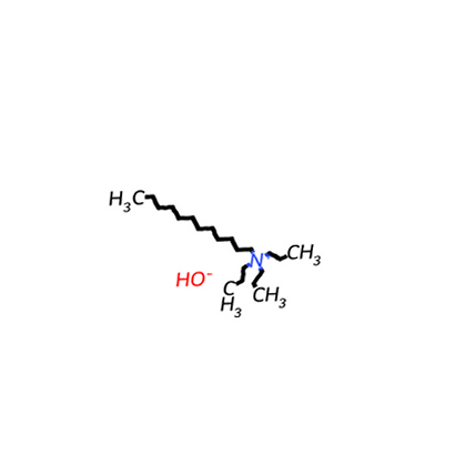 CCCCCCCCCCCC[N+](CCC)(CCC)CCC.[OH-]